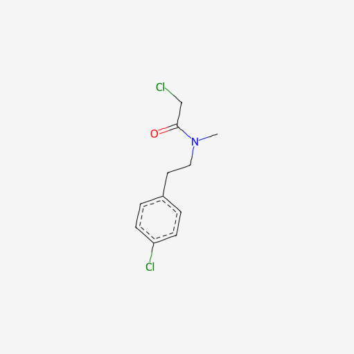 CN(CCc1ccc(Cl)cc1)C(=O)CCl